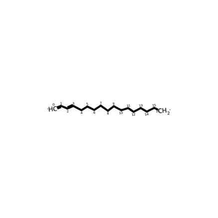 [CH]=CC=CCCCCCCCCCCCC[CH2]